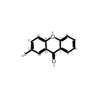 O=c1c2ccccc2oc2ccc(I)cc12